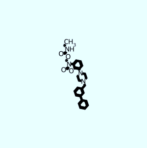 CCNC(=O)OCn1c(=O)oc2c(N3CCN(Cc4cccc(-c5ccccc5)c4)CC3)cccc21